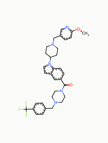 COc1ccc(CN2CCC(n3ccc4cc(C(=O)N5CCN(Cc6ccc(C(F)(F)F)cc6)CC5)ccc43)CC2)cn1